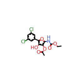 CCOC(=O)Nc1oc(-c2cc(Cl)cc(Cl)c2)c(O)c1OC(C)=O